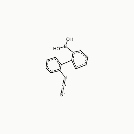 [N-]=[N+]=Nc1ccccc1-c1ccccc1B(O)O